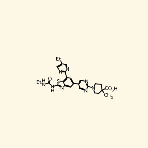 CCNC(=O)Nc1nc2cc(-c3cnc(N4CCC(C)(C(=O)O)CC4)nc3)cc(-c3ncc(CC)cn3)c2s1